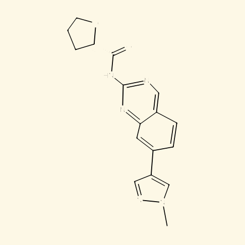 Cn1cc(-c2ccc3cnc(NC(=O)[C@@H]4CCCO4)nc3c2)cn1